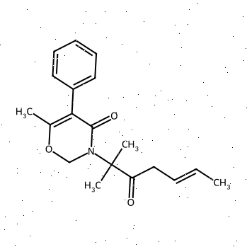 C/C=C/CC(=O)C(C)(C)N1COC(C)=C(c2ccccc2)C1=O